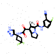 Cc1c(C(=O)C(=O)NC2(c3c[nH]nn3)CC(F)(F)C2)c2n(c1C(=O)Nc1ccc(F)c(C#N)c1)CCC2